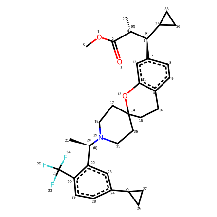 COC(=O)[C@H](C)[C@H](c1ccc2c(c1)OC1(CC2)CCN([C@H](C)c2cc(C3CC3)ccc2C(F)(F)F)CC1)C1CC1